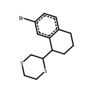 Brc1ccc2c(c1)C(C1CSCCS1)CCC2